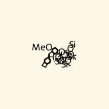 COc1ccc(C2(O)O[C@H](CO[Si](C)(C)C)[C@@H](O[Si](C)(C)C)[C@H](O[Si](C)(C)C)[C@H]2O[Si](C)(C)C)cc1Cc1ccc2c(c1)CC2